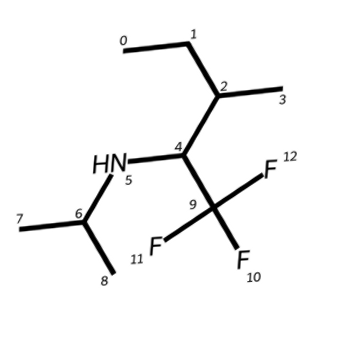 CCC(C)C(NC(C)C)C(F)(F)F